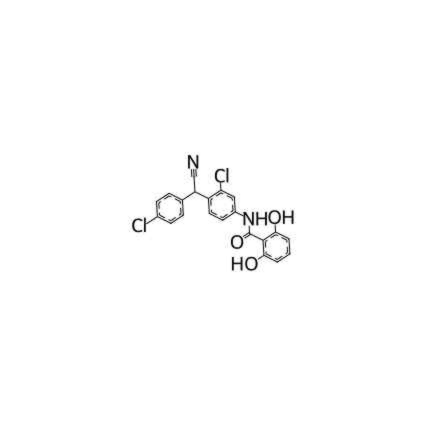 N#CC(c1ccc(Cl)cc1)c1ccc(NC(=O)c2c(O)cccc2O)cc1Cl